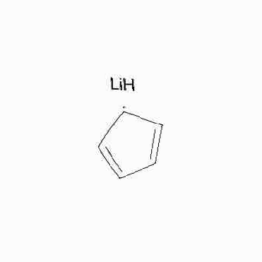 [CH]1C=CC=C1.[LiH]